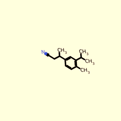 Cc1ccc(C(C)CC#N)cc1C(C)C